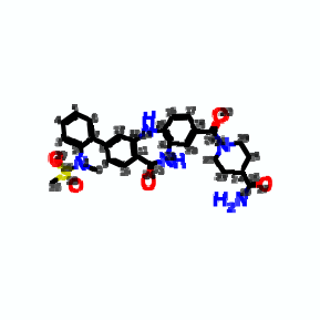 CN(c1ccccc1-c1ccc2c(c1)Nc1ccc(C(=O)N3CCC(C(N)=O)CC3)cc1NC2=O)S(C)(=O)=O